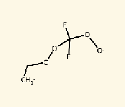 [CH2]COOC(F)(F)O[O]